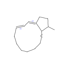 CC1CC/C2=C/C=C/CCCCCCCC21